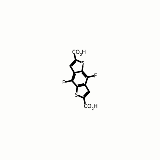 O=C(O)c1cc2c(F)c3sc(C(=O)O)cc3c(F)c2s1